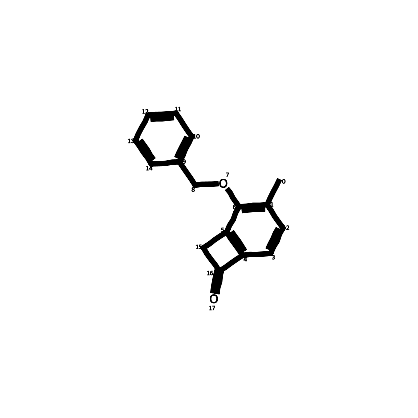 Cc1ccc2c(c1OCc1ccccc1)CC2=O